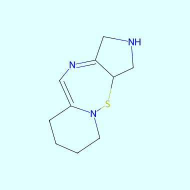 C1=C2CCCCN2SC2CNCC2=N1